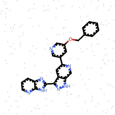 c1ccc(COc2cncc(-c3cc4c(-c5nc6cccnc6[nH]5)n[nH]c4cn3)c2)cc1